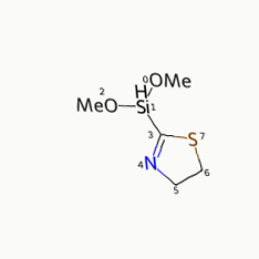 CO[SiH](OC)C1=NCCS1